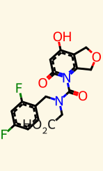 O=C(O)CN(Cc1ccc(F)cc1F)C(=O)n1c2c(c(O)cc1=O)COC2